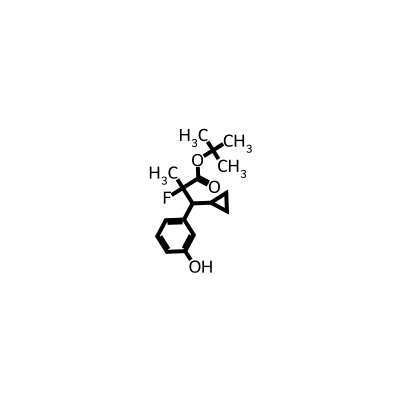 CC(C)(C)OC(=O)C(C)(F)C(c1cccc(O)c1)C1CC1